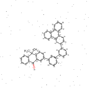 CC1(C)c2ccccc2C(=O)c2cc(-c3cccc(-c4cccc(-c5ccc6c7ccccc7c7ccccc7c6c5)c4)c3)ccc21